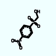 O=[N+]([O-])c1ccc(S(=O)(=O)CO)cc1